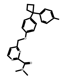 Cc1ccc(C2(c3ccc(OCc4ccnc(C(=O)N(C)C)n4)cc3)CCC2)cc1